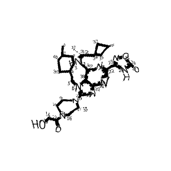 CC1CCC(Cn2c(N3CCN(C(=O)CO)C[C@H]3C)nc3nc(-c4noc(=O)[nH]4)nc(N[C@H](C)C4CCC4)c32)CC1